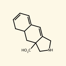 O=C(O)C12CNCC1=CC1=CC=CCC1C2